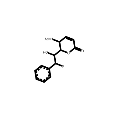 CC(=O)NC1C=CC(=O)OC1C(O)C(F)c1ccccc1